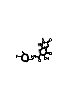 Cc1cc(CNC(=O)c2nc3n(c(=O)c2O)CC(=O)N(C)N3)ccc1F